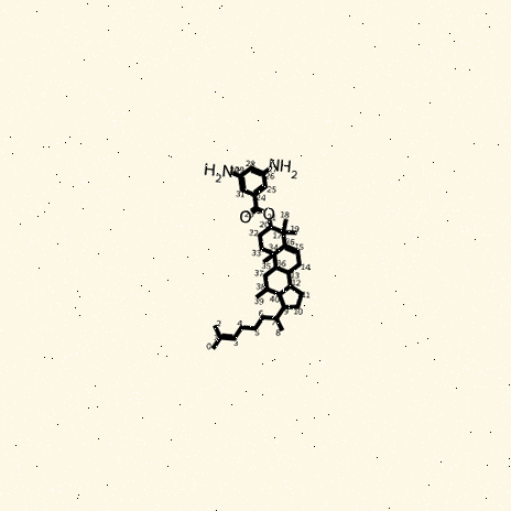 CC(C)=CCCCC(C)C1CCC2C3CC=C4C(C)(C)C(OC(=O)c5cc(N)cc(N)c5)CCC4(C)C3CC(C)C12